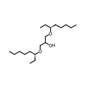 CCCCC[C@H](CC)OCC(O)CO[C@@H](CC)CCCCC